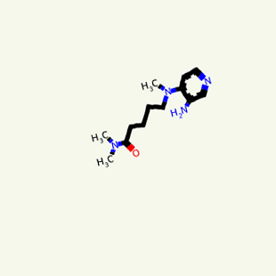 CN(C)C(=O)CCCCN(C)c1ccncc1N